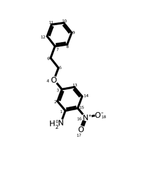 Nc1cc(O[CH]Cc2ccccc2)ccc1[N+](=O)[O-]